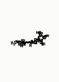 CCCCNC(=O)[C@H](N)CCCNC(=O)CN1CCC(NC(C=O)N2CCN(CC(=O)O)CCN(CC(=O)O)CCN(CC(=O)O)CC2)CC1